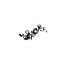 C=CCn1ccc2ncn(CC3(O)CCN(C(=O)C(F)(F)F)CC3)c(=O)c21